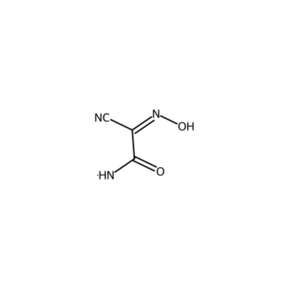 N#C/C(=N/O)C([NH])=O